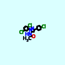 CC(=O)Nc1cc(-c2ccc(Cl)cc2)nn1-c1cc(Cl)ccc1Cl